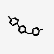 Cc1ccc(Cc2ccc(-c3ccc(C)cc3)cc2)cc1